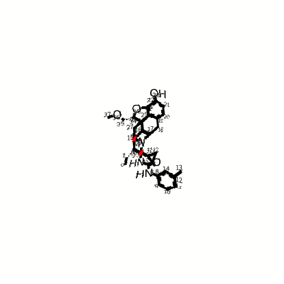 CC[C@@H](CNC(=O)Nc1cccc(C)c1)CC1C2Cc3ccc(O)c4c3C1(CCN2CC1CC1)[C@H](COC)O4